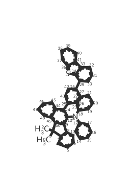 CC1(C)c2ccccc2-c2c(N(c3ccccc3)c3ccccc3)c(-c3ccc(-c4cccc5c4sc4ccccc45)cc3)c3ccccc3c21